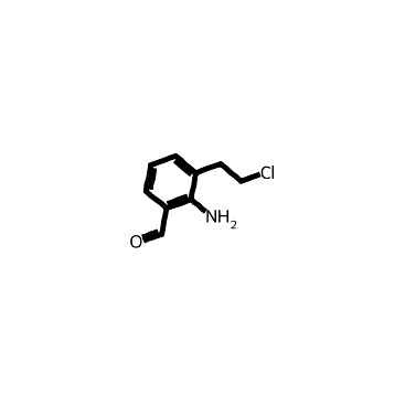 Nc1c(C=O)cccc1CCCl